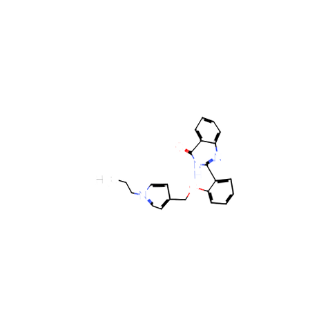 CCC[n+]1ccc(COc2ccccc2-c2nc3ccccc3c(=O)[nH]2)cc1